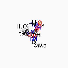 CC[C@@H]1C[C@H](C)CC/C=C\[C@@H]2C[C@@]2(C(=O)NS(=O)(=O)C2CC2)NC(=O)[C@@H]2C[C@@H](Oc3nc4cc(OC)ccc4nc3O)CN2C(=O)[C@H]1N(C(=O)O)C(C)(C)C